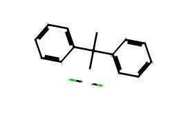 CC(C)(c1ccccc1)c1ccccc1.[Cl][Ru][Cl]